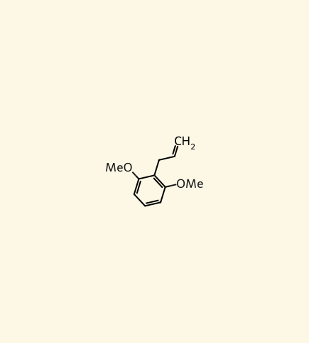 C=CCc1c(OC)cccc1OC